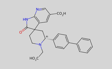 O=C(O)CN1CCC2(C[C@@H]1c1ccc(-c3ccccc3)cc1)C(=O)Nc1ncc(C(=O)O)cc12